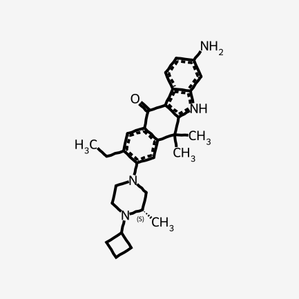 CCc1cc2c(cc1N1CCN(C3CCC3)[C@@H](C)C1)C(C)(C)c1[nH]c3cc(N)ccc3c1C2=O